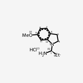 C[CH][C@@H](N)N1CCc2ccc(OC)cc21.Cl